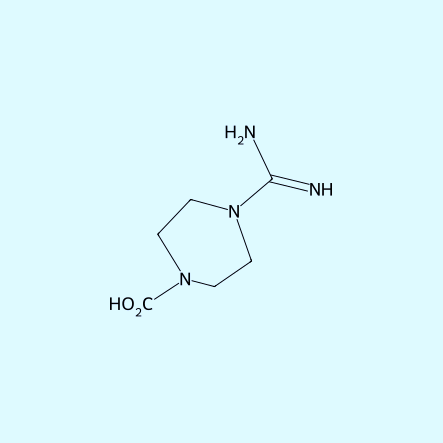 N=C(N)N1CCN(C(=O)O)CC1